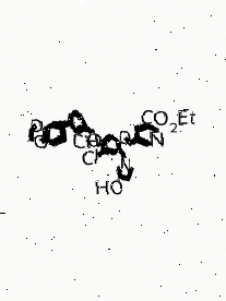 CCOC(=O)c1cncc(COc2cc(OCc3cccc(-c4ccc5c(c4)OCCO5)c3C)c(Cl)cc2CN2CCC(O)C2)c1